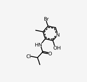 Cc1c(Br)cnc(O)c1NC(=O)C(C)Cl